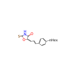 CCCCCCc1ccc(C=CC=C2OC(=S)NC2=O)cc1